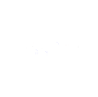 O=C(NC(=O)c1c(Cl)cccc1Cl)Nc1ccc(OCC(F)(F)F)nc1